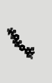 CSc1c(N)nc(-c2ccc(NC(=O)Nc3cccc(NC(=O)C(F)(F)F)c3)cc2)nc1Cl